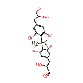 CC(C)(c1c(Br)cc(CC(O)C=O)cc1Br)c1c(Br)cc(CC(O)C=O)cc1Br